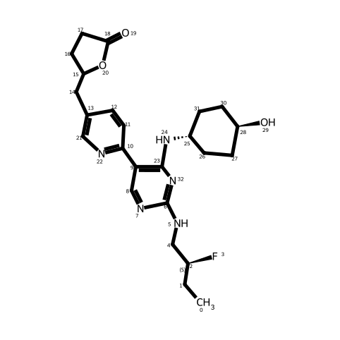 CC[C@H](F)CNc1ncc(-c2ccc(CC3CCC(=O)O3)cn2)c(N[C@H]2CC[C@H](O)CC2)n1